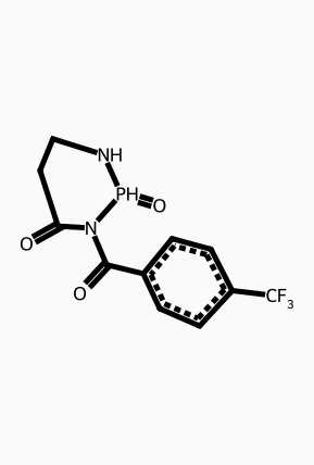 O=C1CCN[PH](=O)N1C(=O)c1ccc(C(F)(F)F)cc1